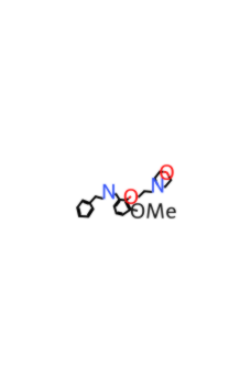 COc1cccc(/C=N\CCc2ccccc2)c1OCCCN1CCOCC1